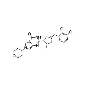 CC1CN(Cc2cccc(Cl)c2Cl)CC1C1=NC2=CN(C3CCOCC3)CN2C(=O)N1